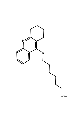 CCCCCCCCCCCCCCCC=Nc1c2c(nc3ccccc13)CCCC2